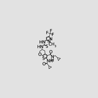 Cn1nc(C(F)(F)F)cc1NC(=S)NC1COc2sc(NC(=O)C3CC3)c(C(=O)NCC3CC3)c2C1